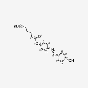 CCCCCCCCCCCCCCC(=O)Oc1ccc(N=Cc2ccc(O)cc2)cc1